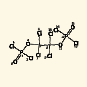 O=P(Cl)(Cl)OC(Cl)(Cl)C(Cl)(Cl)OP(=O)(Cl)Cl